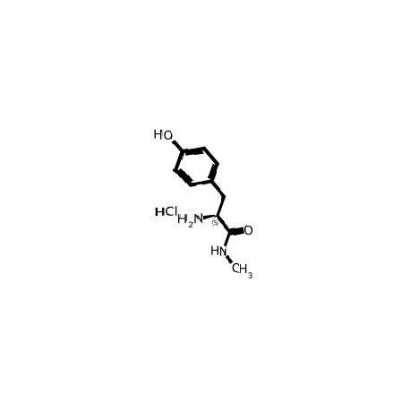 CNC(=O)[C@@H](N)Cc1ccc(O)cc1.Cl